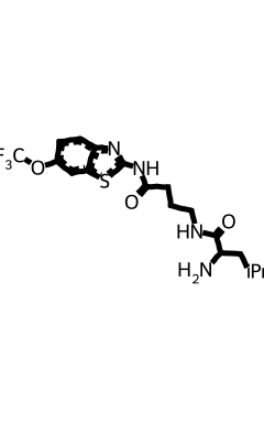 CC(C)CC(N)C(=O)NCCCC(=O)Nc1nc2ccc(OC(F)(F)F)cc2s1